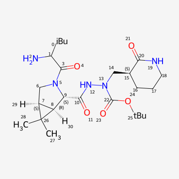 CCC(C)C(N)C(=O)N1C[C@H]2[C@@H]([C@H]1C(=O)NN(C[C@@H]1CCCNC1=O)C(=O)OC(C)(C)C)C2(C)C